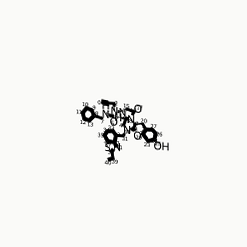 C#CCN(C(=O)NCc1ccccc1)N1CC(=O)N2[C@@H](Cc3ccc(O)cc3)C(=O)N(Cc3cccc4sc(C=C)nc34)C[C@@H]21